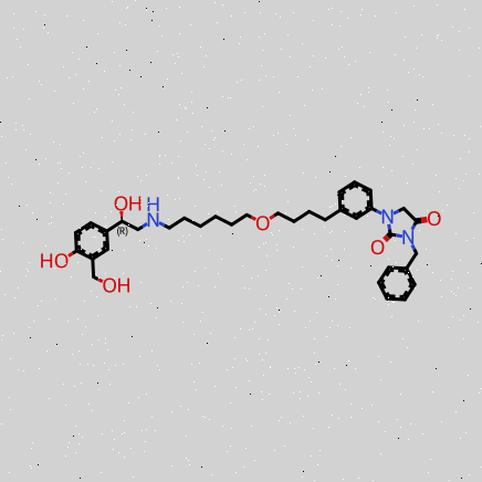 O=C1CN(c2cccc(CCCCOCCCCCCNC[C@H](O)c3ccc(O)c(CO)c3)c2)C(=O)N1Cc1ccccc1